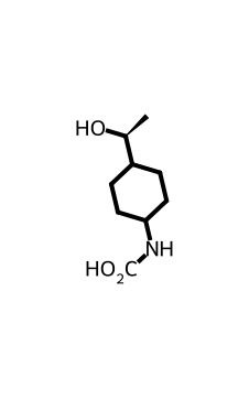 C[C@H](O)C1CCC(NC(=O)O)CC1